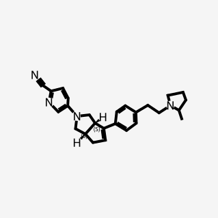 CC1CCCN1CCc1ccc(C2=CC[C@@H]3CN(c4ccc(C#N)nc4)C[C@H]23)cc1